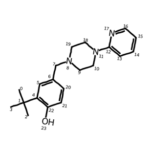 CC(C)(C)c1cc(CN2CCN(c3ccccn3)CC2)ccc1O